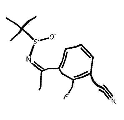 C/C(=N/[S+]([O-])C(C)(C)C)c1cccc(C#N)c1F